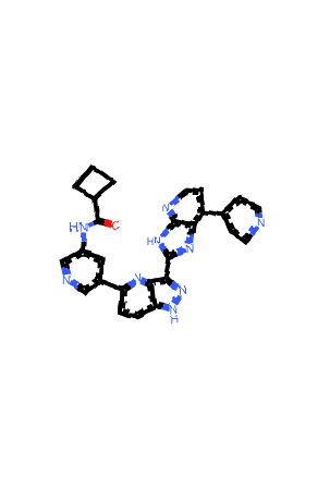 O=C(Nc1cncc(-c2ccc3[nH]nc(-c4nc5c(-c6ccncc6)ccnc5[nH]4)c3n2)c1)C1CCC1